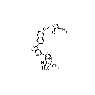 CN1CCN(CCOc2ccc3cc(-c4n[nH]c5ccc(-c6ncn(CC(C)(C)C)n6)cc45)ccc3c2)C1=O